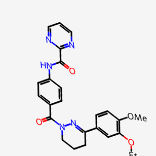 CCOc1cc(C2=NN(C(=O)c3ccc(NC(=O)c4ncccn4)cc3)CCC2)ccc1OC